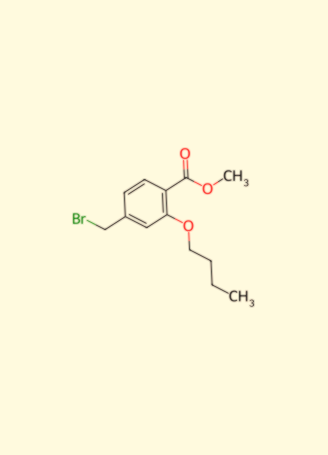 CCCCOc1cc(CBr)ccc1C(=O)OC